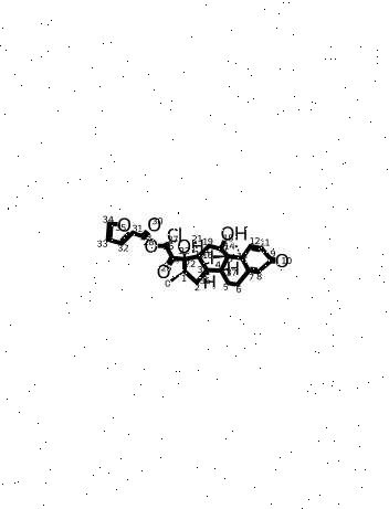 C[C@@H]1C[C@H]2[C@@H]3CCC4=CC(=O)C=C[C@]4(C)[C@@]3(Cl)C(O)C[C@]2(C)[C@@]1(O)C(=O)C(Cl)OC(=O)c1ccco1